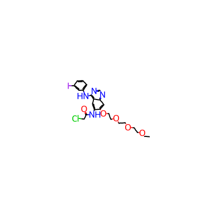 CCOCCOCCOCCOc1cc2ncnc(Nc3cccc(I)c3)c2cc1NC(=O)CCl